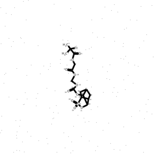 CCC(C)(C)C(=O)OCC(=O)OCOC(=O)OC1C2CC3C1OS(=O)(=O)C3C2